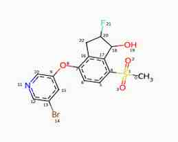 CS(=O)(=O)c1ccc(Oc2cncc(Br)c2)c2c1C(O)C(F)C2